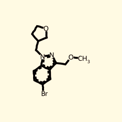 COCc1nn(CC2CCOC2)c2ccc(Br)cc12